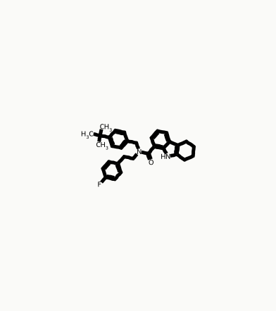 CC(C)(C)c1ccc(CN(CCc2ccc(F)cc2)C(=O)c2cccc3c4c([nH]c23)CCCC4)cc1